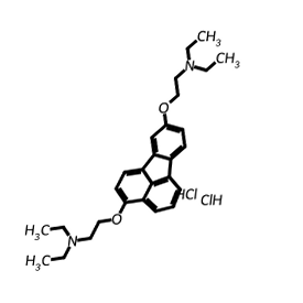 CCN(CC)CCOc1ccc2c(c1)-c1ccc(OCCN(CC)CC)c3cccc-2c13.Cl.Cl